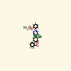 COc1ccccc1N1CCN(C2CCC3(CC2)OCc2ccccc23)CC1.Cl.Cl